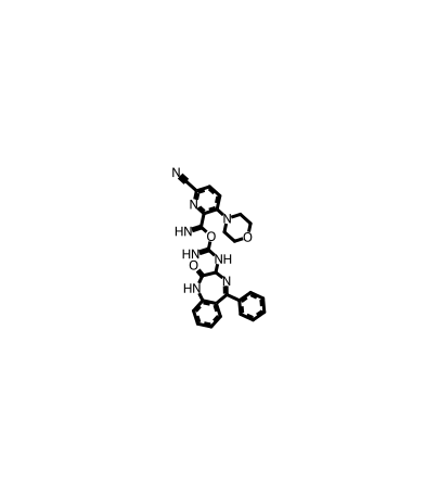 N#Cc1ccc(N2CCOCC2)c(C(=N)OC(=N)NC2N=C(c3ccccc3)c3ccccc3NC2=O)n1